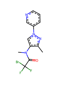 Cc1nn(-c2cccnc2)cc1N(C)C(=O)C(F)(F)Br